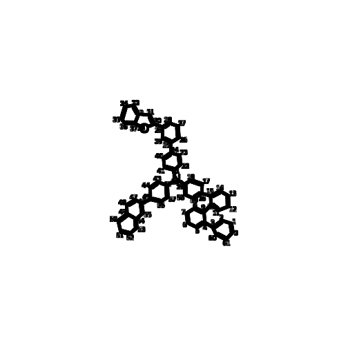 c1ccc(-c2ccccc2-c2ccccc2-c2ccc(N(c3ccc(-c4cccc(-c5cc6ccccc6o5)c4)cc3)c3ccc(-c4ccc5ccccc5c4)cc3)cc2)cc1